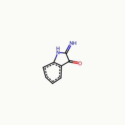 N=C1Nc2ccccc2C1=O